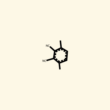 Cc1ccc(C)c(C#N)c1C#N